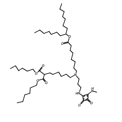 CCCCCCCC(CCCCCCC)OC(=O)CCCCCCCN(CCCCCCC(C(=O)OCCCCCC)C(=O)OCCCCCC)CCCNc1c(NC)c(=O)c1=O